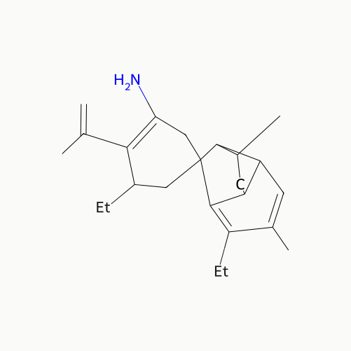 C=C(C)C1=C(N)CC2(CC1CC)C1=C(CC)C(C)=CC3C1CC(C)C32